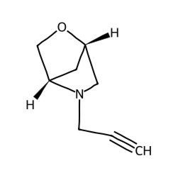 C#CCN1C[C@@H]2C[C@H]1CO2